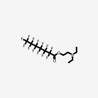 CCN(CC)CCOC(=O)C(F)(F)C(F)(F)C(F)(F)C(F)(F)C(F)(F)C(F)(F)F